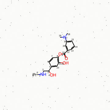 CC(C)NCC(O)c1ccc(OC(=O)c2cccc(N(C)C)c2)c(O)c1